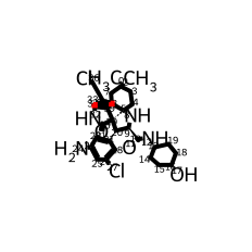 CC1(C)CCC2(CC1)N[C@@H](C(=O)N[C@H]1CC[C@H](O)CC1)[C@H](c1cc(N)cc(Cl)c1)[C@]21C(=O)Nc2cc(Cl)ccc21